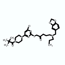 CCCN(CCCC(=O)CSc1nc(Cl)cc(N2CCN(C(=O)C(C)(C)C)CC2)n1)Cc1ccc2c(c1)OCO2